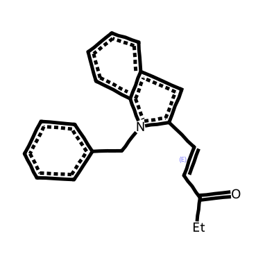 CCC(=O)/C=C/c1cc2ccccc2n1Cc1ccccc1